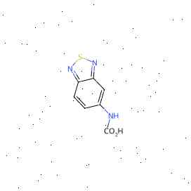 O=C(O)Nc1ccc2nsnc2c1